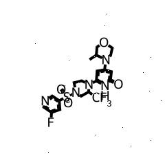 CC1COCCN1c1cc(N2CCN(S(=O)(=O)c3cncc(F)c3)CC2C(F)(F)F)[nH]c(=O)c1